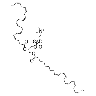 CC/C=C\C/C=C\C/C=C\C/C=C\C/C=C\C/C=C\CCC(=O)OC(COC(=O)CCCCCCC/C=C\C/C=C\C/C=C\C/C=C\C/C=C\CC)COP(=O)([O-])OCC[N+](C)(C)C